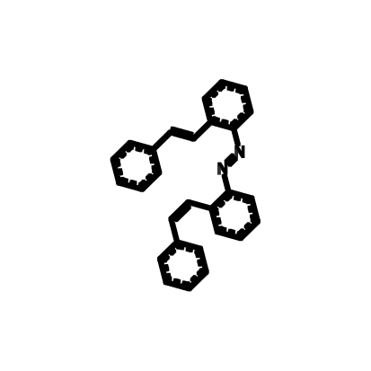 C(=Cc1ccccc1N=Nc1ccccc1C=Cc1ccccc1)c1ccccc1